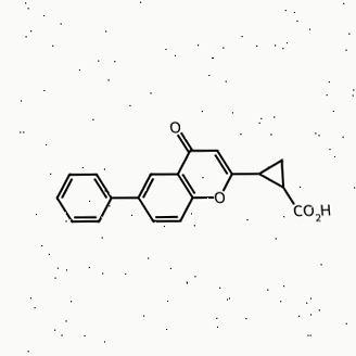 O=C(O)C1CC1c1cc(=O)c2cc(-c3ccccc3)ccc2o1